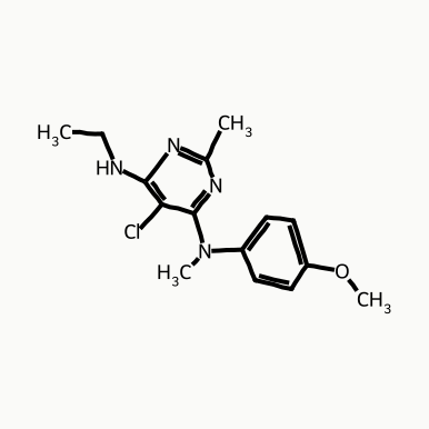 CCNc1nc(C)nc(N(C)c2ccc(OC)cc2)c1Cl